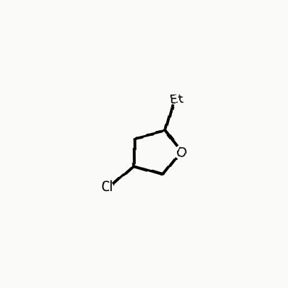 CCC1CC(Cl)CO1